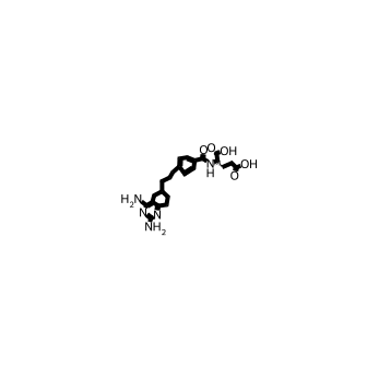 Nc1nc(N)c2c(n1)CCC(CCCc1ccc(C(=O)N[C@@H](CCC(=O)O)C(=O)O)cc1)C2